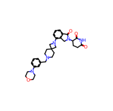 O=C1CCC(N2Cc3c(cccc3N3CC4(CCN(Cc5cccc(N6CCOCC6)c5)CC4)C3)C2=O)C(=O)N1